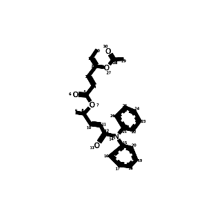 CC=C(C=CC(=O)OC(C)C=CC(=O)N(c1ccccc1)c1ccccc1)OC(C)=O